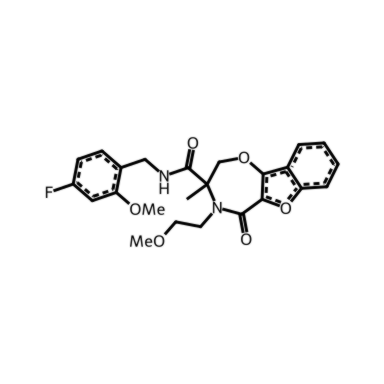 COCCN1C(=O)c2oc3ccccc3c2OCC1(C)C(=O)NCc1ccc(F)cc1OC